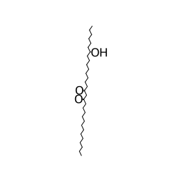 CCCCCCCCCCCCCC(=O)CC(=O)CCCCCCCCC(O)CCCCCC